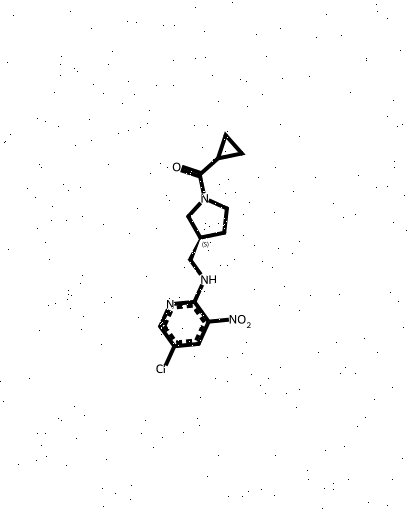 O=C(C1CC1)N1CC[C@@H](CNc2ncc(Cl)cc2[N+](=O)[O-])C1